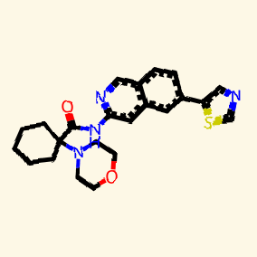 O=C(Nc1cc2cc(-c3cncs3)ccc2cn1)C1(N2CCOCC2)CCCCC1